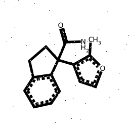 Cc1occc1C1(C(N)=O)CCc2ccccc21